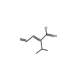 C=C/C=C(/C(=N)Cl)C(C)C